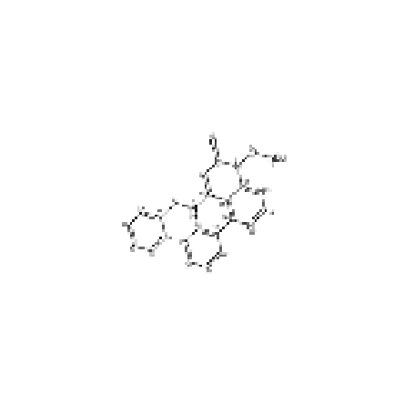 CCCCOn1c(=O)cc(NCc2ccccc2)c2c(-c3ccccc3)ncnc21